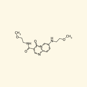 COCCNC(=O)c1cnc2ccc(NCCOC)cn2c1=O